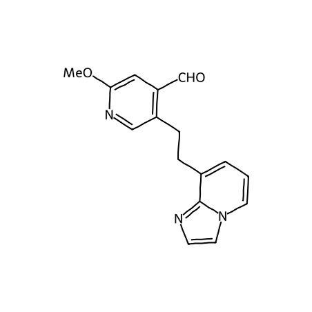 COc1cc(C=O)c(CCc2cccn3ccnc23)cn1